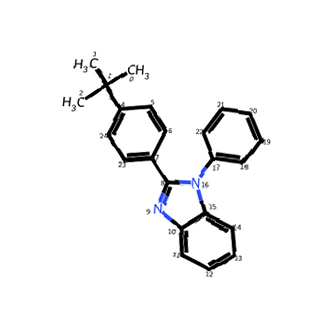 CC(C)(C)c1ccc(-c2nc3ccccc3n2-c2ccccc2)cc1